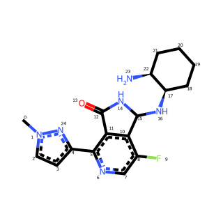 Cn1ccc(-c2ncc(F)c3c2C(=O)NC3N[C@@H]2CCCC[C@@H]2N)n1